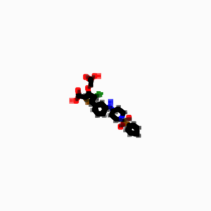 O=C(O)COc1c(C(=O)O)sc(-c2cccc(NC3CCN(S(=O)(=O)c4ccccc4)CC3)c2)c1Br